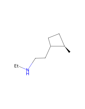 CCNCCC1CC[C@H]1C